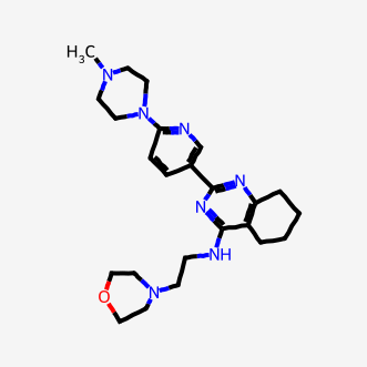 CN1CCN(c2ccc(-c3nc4c(c(NCCN5CCOCC5)n3)CCCC4)cn2)CC1